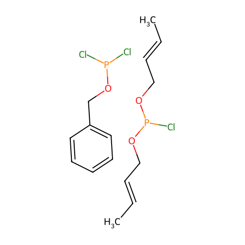 CC=CCOP(Cl)OCC=CC.ClP(Cl)OCc1ccccc1